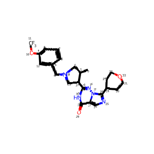 CC1CN(Cc2cccc(OC(F)(F)F)c2)CC1c1nn2c(C3CCOCC3)ncc2c(=O)[nH]1